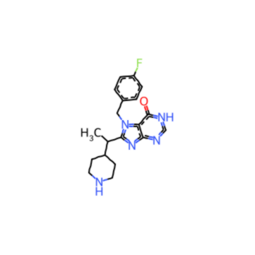 CC(c1nc2nc[nH]c(=O)c2n1Cc1ccc(F)cc1)C1CCNCC1